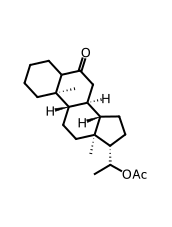 CC(=O)OC(C)[C@H]1CC[C@H]2[C@@H]3CC(=O)C4CCCC[C@]4(C)[C@H]3CC[C@]12C